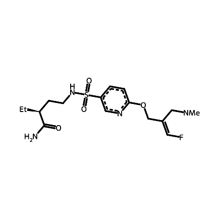 CC[C@@H](CCNS(=O)(=O)c1ccc(OC/C(=C/F)CNC)nc1)C(N)=O